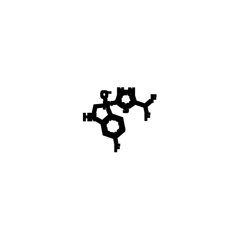 [O-][N+]1(c2nnc(C(F)F)s2)CNc2cc(F)ccc21